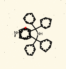 CN.c1ccc(C(NC(c2ccccc2)(c2ccccc2)c2ccccc2)(c2ccccc2)c2ccccc2)cc1